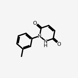 Cc1cccc(-n2[nH]c(=O)ccc2=O)c1